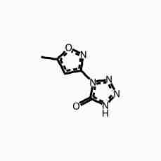 Cc1cc(-n2nn[nH]c2=O)no1